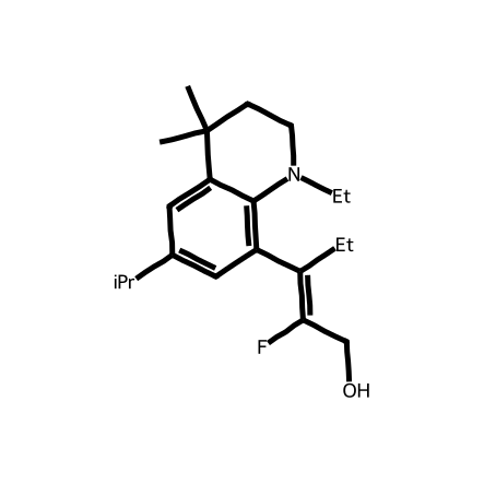 CCC(=C(F)CO)c1cc(C(C)C)cc2c1N(CC)CCC2(C)C